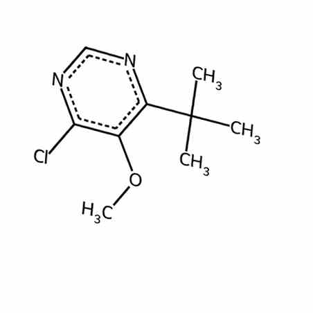 COc1c(Cl)ncnc1C(C)(C)C